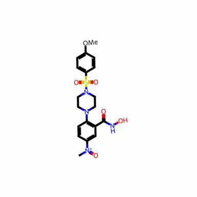 COc1ccc(S(=O)(=O)N2CCN(c3ccc([N+](C)=O)cc3C(=O)NO)CC2)cc1